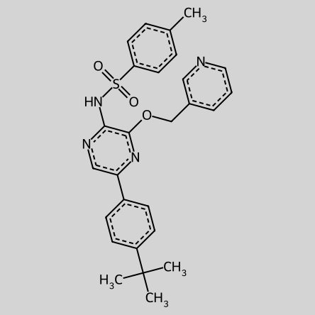 Cc1ccc(S(=O)(=O)Nc2ncc(-c3ccc(C(C)(C)C)cc3)nc2OCc2cccnc2)cc1